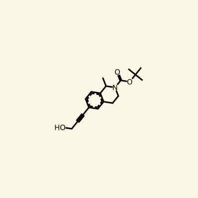 CC1c2ccc(C#CCO)cc2CCN1C(=O)OC(C)(C)C